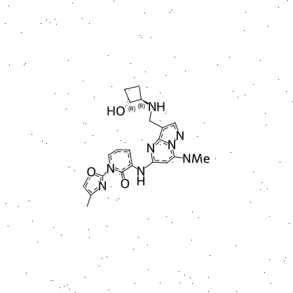 CNc1cc(Nc2cccn(-c3nc(C)co3)c2=O)nc2c(CN[C@@H]3CC[C@H]3O)cnn12